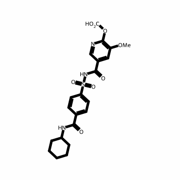 COc1cc(C(=O)NS(=O)(=O)c2ccc(C(=O)NC3CCCCC3)cc2)cnc1OC(=O)O